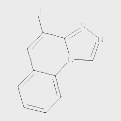 Clc1cc2ccccc2n2cnnc12